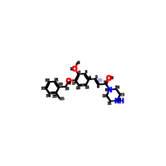 COc1cc(/C=C/C(=O)N2CCNCC2)ccc1OCc1ccccc1C